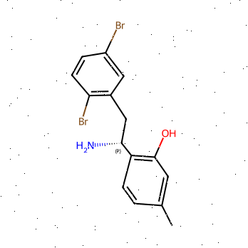 Cc1ccc([C@H](N)Cc2cc(Br)ccc2Br)c(O)c1